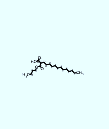 CCCCCCCCCCCCCC(C(=O)O)C(=O)OCCCC